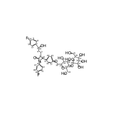 O=C1C(CC[C@H](O)c2ccc(F)cc2)[C@@H](c2ccc(OCC3OC(CO)C(OC4OC(CO)C(O)C(O)C4O)C(O)C3O)cc2)N1c1ccc(F)cc1